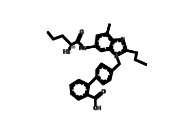 CCCc1nc2c(C)cc(NC(=O)[C@@H](S)CCC)cc2n1Cc1ccc(-c2ccccc2C(=O)O)cc1